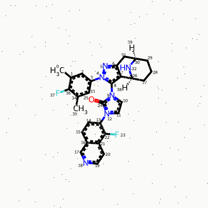 Cc1cc(-n2nc3c(c2-n2ccn(-c4ccc5cnccc5c4F)c2=O)[C@@H]2CCC[C@H](C3)N2)cc(C)c1F